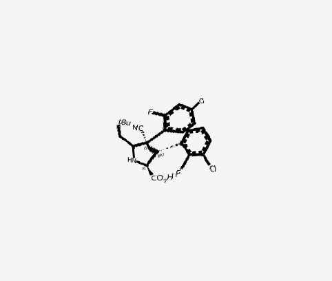 CC(C)(C)CC1N[C@H](C(=O)O)[C@@H](c2cccc(Cl)c2F)[C@]1(C#N)c1ccc(Cl)cc1F